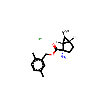 Cc1ccc(C)c(COC(=O)[C@]2(N)CC[C@H]3[C@H](C(=O)O)[C@H]32)c1.Cl